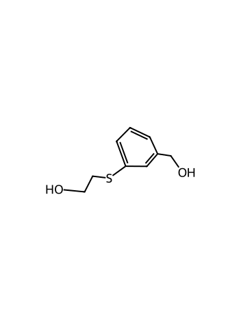 OCCSc1cccc(CO)c1